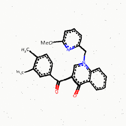 COc1cccc(Cn2cc(C(=O)c3ccc(C)c(C)c3)c(=O)c3ccccc32)n1